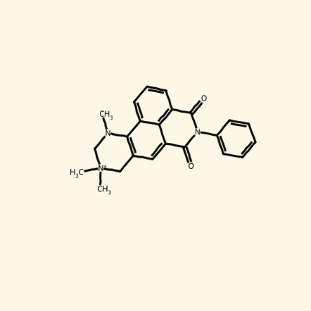 CN1C[N+](C)(C)Cc2cc3c4c(cccc4c21)C(=O)N(c1ccccc1)C3=O